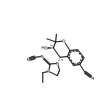 CCN1CCN([C@H]2c3cc(C#N)ccc3OC(C)(C)[C@@H]2O)/C1=N/C#N